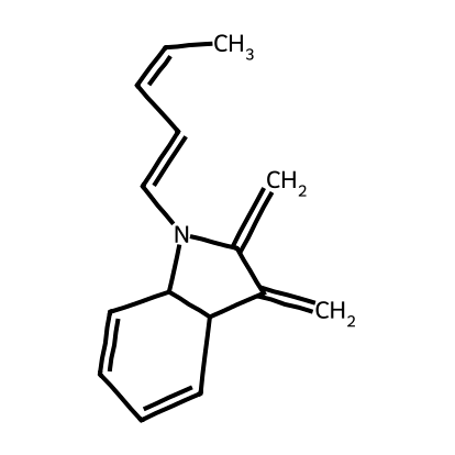 C=C1C(=C)N(/C=C/C=C\C)C2C=CC=CC12